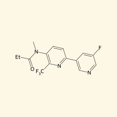 CCC(=O)N(C)c1ccc(-c2cncc(F)c2)nc1C(F)(F)F